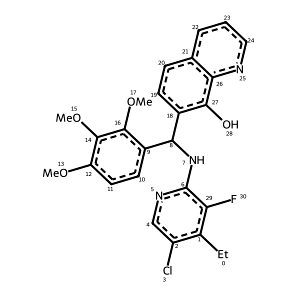 CCc1c(Cl)cnc(NC(c2ccc(OC)c(OC)c2OC)c2ccc3cccnc3c2O)c1F